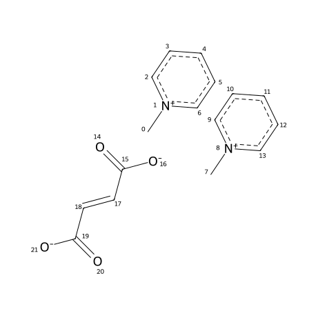 C[n+]1ccccc1.C[n+]1ccccc1.O=C([O-])/C=C/C(=O)[O-]